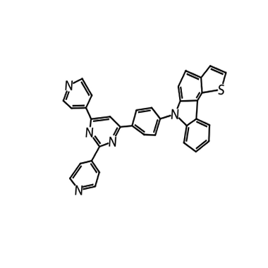 c1ccc2c(c1)c1c3sccc3ccc1n2-c1ccc(-c2cc(-c3ccncc3)nc(-c3ccncc3)n2)cc1